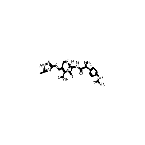 Cc1nc(SCC2=C(C(=O)O)N3C(=O)C(NC(=O)C(N)c4ccc(NC(N)=O)cc4)[C@@H]3SC2)n[nH]1